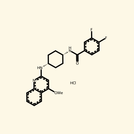 COc1cc(N[C@H]2CC[C@@H](NC(=O)c3ccc(F)c(F)c3)CC2)nc2ccccc12.Cl